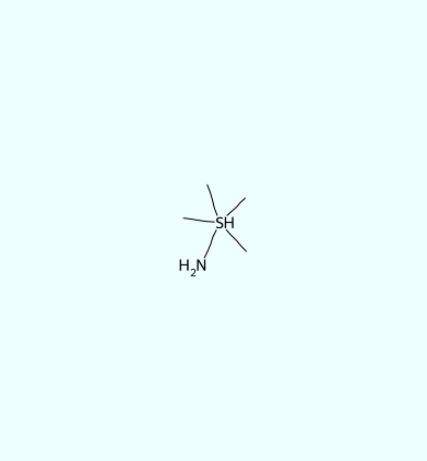 C[SH](C)(C)(C)N